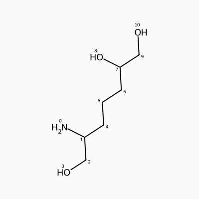 NC(CO)CCCC(O)CO